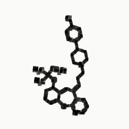 CCOC(=O)C(C)(C)OC1C=CC=C2Oc3ncccc3C(=CCCN3CCC(c4ccc(Cl)cc4)CC3)C=C21